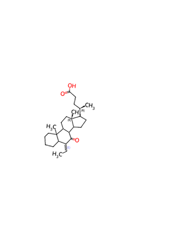 C/C=C1/C(=O)C2C(CC[C@@]3(C)C2CCC3[C@H](C)CCC(=O)O)C2(C)CCCCC12